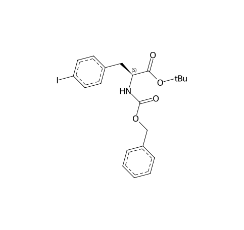 CC(C)(C)OC(=O)[C@H](Cc1ccc(I)cc1)NC(=O)OCc1ccccc1